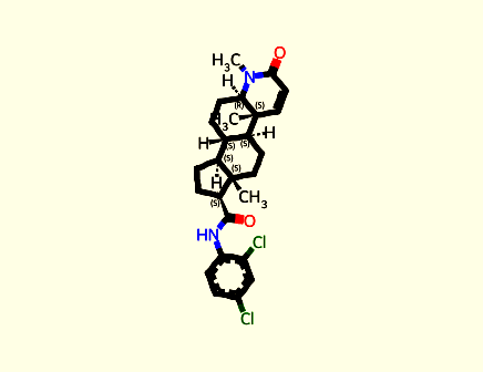 CN1C(=O)C=C[C@]2(C)[C@H]3CC[C@]4(C)[C@@H](C(=O)Nc5ccc(Cl)cc5Cl)CC[C@H]4[C@@H]3CC[C@@H]12